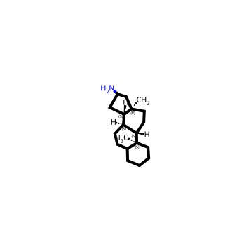 C[C@]12CC[C@H]3[C@@H](CCC4CCCC[C@@]43C)[C@@H]1CC(N)C2